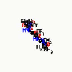 COC(=O)N[C@H](C(=O)N1C[C@@H]([S+](C)[O-])C[C@H]1c1nc(-c2ccc(-c3ccc(C(=O)Nc4ccc(N5CCN(C(=O)[C@H]6CC6(C)C)C[C@H]5C)nc4)cc3OC(F)(F)F)cc2)c[nH]1)C(C)C